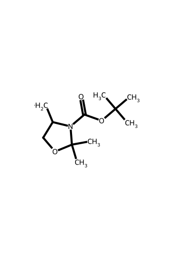 [CH2]C1COC(C)(C)N1C(=O)OC(C)(C)C